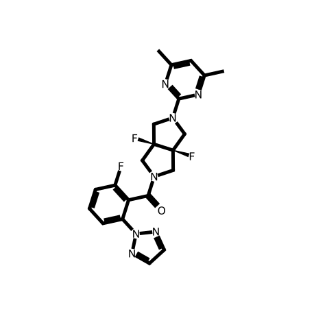 Cc1cc(C)nc(N2C[C@]3(F)CN(C(=O)c4c(F)cccc4-n4nccn4)C[C@]3(F)C2)n1